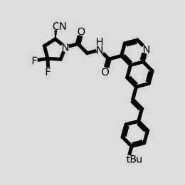 CC(C)(C)c1ccc(/C=C/c2ccc3nccc(C(=O)NCC(=O)N4CC(F)(F)C[C@H]4C#N)c3c2)cc1